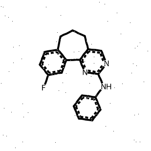 Fc1ccc2c(c1)-c1nc(Nc3ccccc3)ncc1CCC2